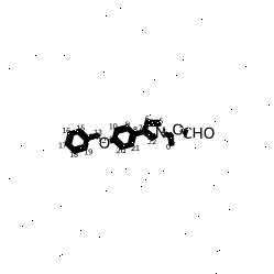 CC(OC=O)n1ccc(-c2ccc(OCc3ccccc3)cc2)c1